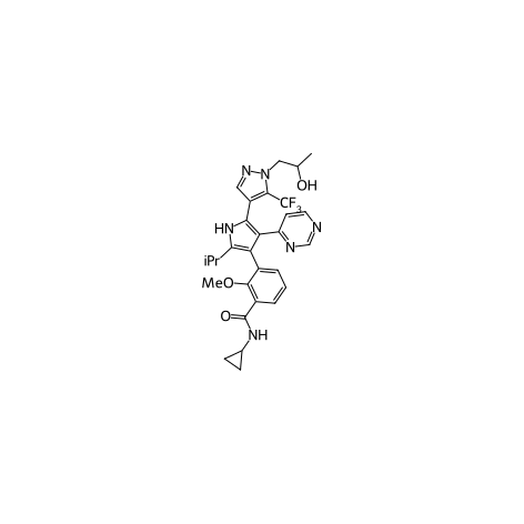 COc1c(C(=O)NC2CC2)cccc1-c1c(C(C)C)[nH]c(-c2cnn(CC(C)O)c2C(F)(F)F)c1-c1ccncn1